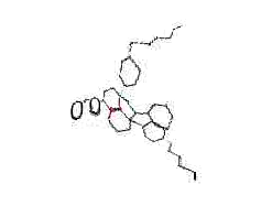 CCCCCC[C@H]1CC[C@H](C2(CC(C3CCCCC3)C3([C@H]4CC[C@H](CCCCCC)CC4)CCCCC3)CCC(OC=O)CC2)CC1